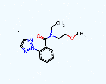 CCN(CCOC)C(=O)c1ccccc1-n1nccn1